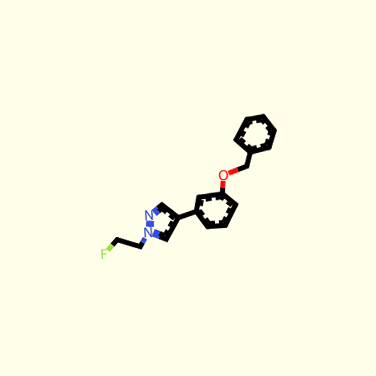 FCCn1cc(-c2cccc(OCc3ccccc3)c2)cn1